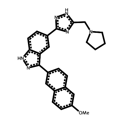 COc1ccc2cc(-c3n[nH]c4ccc(-c5n[nH]c(CN6CCCC6)n5)cc34)ccc2c1